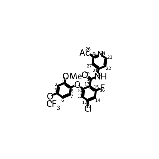 COc1cc(OC(F)(F)F)ccc1Oc1cc(Cl)cc(F)c1C(=O)Nc1ccnc(C(C)=O)c1